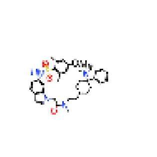 COc1cc(C)c(S(=O)(=O)Nc2ccc3ccn(CC(=O)N(C)CCC4CCC(c5ccccc5)(N(C)C)CC4)c3c2)c(C)c1